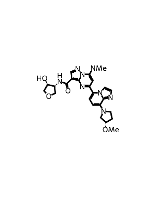 CNc1cc(-c2ccc(N3CC[C@H](OC)C3)c3nccn23)nc2c(C(=O)N[C@@H]3COC[C@@H]3O)cnn12